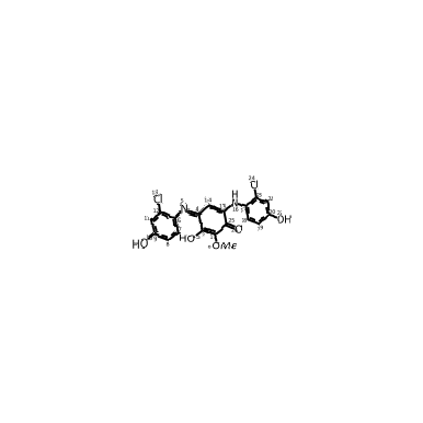 COC1=C(O)/C(=N\c2ccc(O)cc2Cl)C=C(Nc2ccc(O)cc2Cl)C1=O